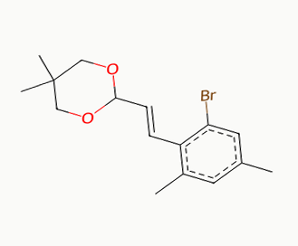 Cc1cc(C)c(C=CC2OCC(C)(C)CO2)c(Br)c1